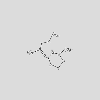 CCCCCCCCCCCC(N)=O.O=C(O)C1CCCCO1